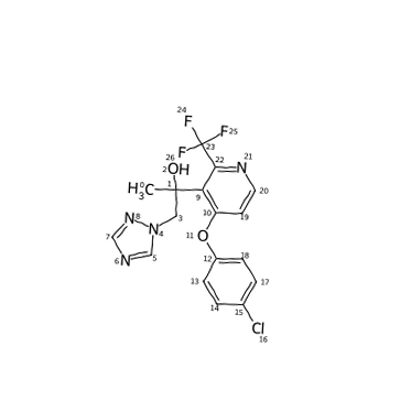 CC(O)(Cn1cncn1)c1c(Oc2ccc(Cl)cc2)ccnc1C(F)(F)F